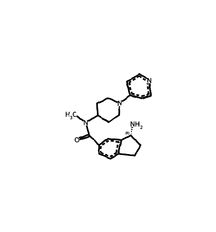 CN(C(=O)c1ccc2c(c1)[C@H](N)CC2)C1CCN(c2ccncc2)CC1